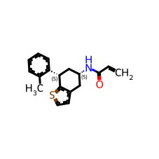 C=CC(=O)N[C@@H]1Cc2ccsc2[C@H](c2ccccc2C)C1